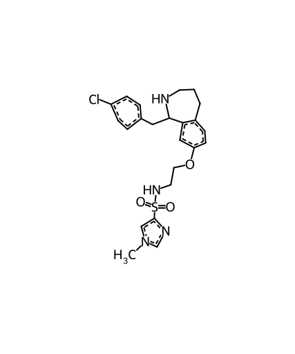 Cn1cnc(S(=O)(=O)NCCOc2ccc3c(c2)C(Cc2ccc(Cl)cc2)NCCC3)c1